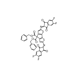 O=C(OCc1ccccc1)C1(C(=O)OCc2ccccc2)c2cc(N=c3c(=O)c4cc(F)c(F)cc4c3=O)sc2-c2sc(N=c3c(=O)c4cc(F)c(F)cc4c3=O)cc21